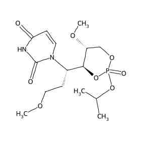 COCC[C@@H]([C@@H]1OP(=O)(OC(C)C)OC[C@H]1OC)n1ccc(=O)[nH]c1=O